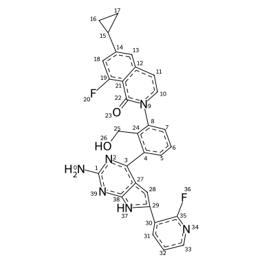 Nc1nc(-c2cccc(-n3ccc4cc(C5CC5)cc(F)c4c3=O)c2CO)c2cc(-c3cccnc3F)[nH]c2n1